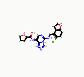 O=C(Nc1cnc(NCc2c(F)ccc3c2CCO3)n2cnnc12)C1CCCO1